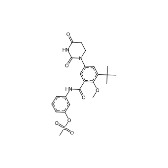 COc1c(C(=O)Nc2cccc(OS(C)(=O)=O)c2)cc(N2CCC(=O)NC2=O)cc1C(C)(C)C